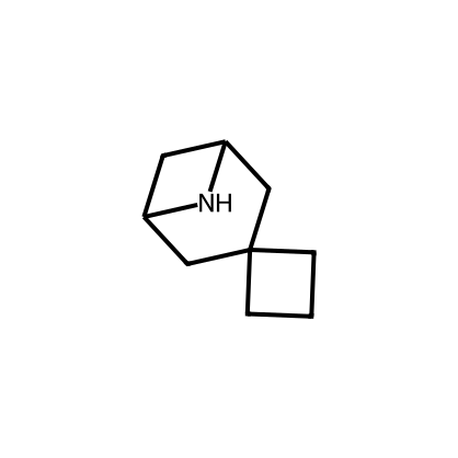 C1CC2(C1)CC1CC(C2)N1